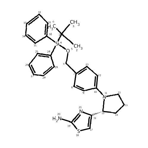 CC(C)(C)[Si](OCc1ccc(N2CCC[C@@H]2c2csc(N)n2)cc1)(c1ccccc1)c1ccccc1